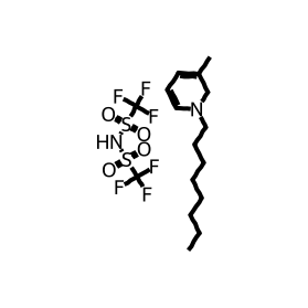 CCCCCCCCN1C=CC=C(C)C1.O=S(=O)(NS(=O)(=O)C(F)(F)F)C(F)(F)F